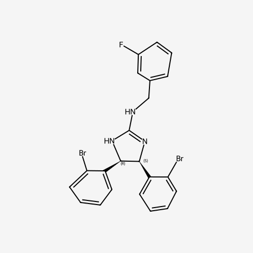 Fc1cccc(CNC2=N[C@@H](c3ccccc3Br)[C@@H](c3ccccc3Br)N2)c1